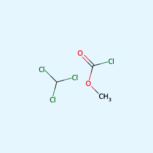 COC(=O)Cl.ClC(Cl)Cl